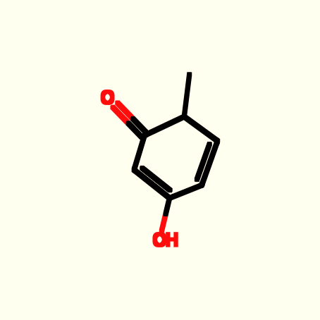 CC1C=CC(O)=CC1=O